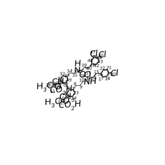 CC(C)(Oc1ccc(CCCNC(=O)/C=C/c2ccc(Cl)cc2)cc1)C(=O)O.CC(C)(Oc1ccc(CCNC(=O)/C=C/c2ccc(Cl)c(Cl)c2)cc1)C(=O)O